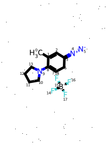 CC1=CC(=[N+]=[N-])CC=C1N1CCCC1.F[B-](F)(F)F